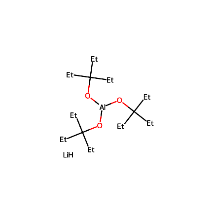 CCC(CC)(CC)[O][Al]([O]C(CC)(CC)CC)[O]C(CC)(CC)CC.[LiH]